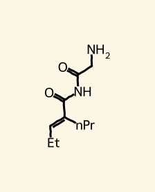 CC/C=C(\CCC)C(=O)NC(=O)CN